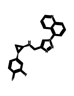 Fc1ccc([C@@H]2C[C@H]2NCc2cn(-c3cccc4ncccc34)nn2)cc1F